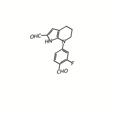 O=Cc1cc2c([nH]1)N(c1ccc(C=O)c(F)c1)CCC2